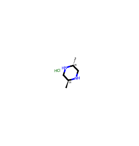 C[C@@H]1CN[C@@H](C)CN1.Cl